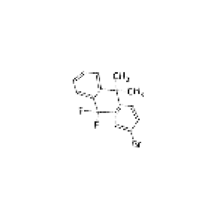 CC1(C)c2ccccc2C(F)(F)c2cc(Br)ccc21